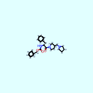 O=C(N[C@@H](Cc1ccccc1)C(=O)N1CCC(CN2CCCC2)CC1)OCc1ccccc1